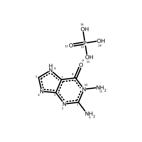 Nc1nc2nc[nH]c2c(=O)n1N.O=P(O)(O)O